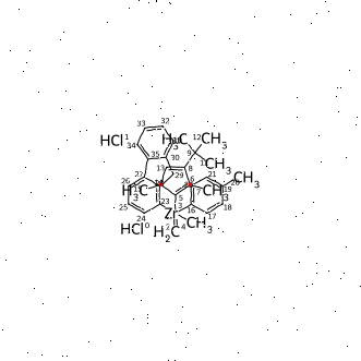 Cl.Cl.[CH2]=[Zr]([CH3])([C]1=C(C)C(C(C)(C)C)=CC1C)([c]1ccc(C)cc1)[c]1cccc2c1Cc1ccccc1-2